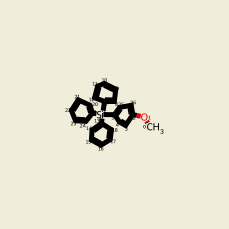 COc1ccc([Si](c2ccccc2)(c2ccccc2)c2ccccc2)cc1